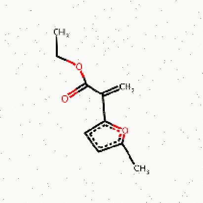 C=C(C(=O)OCC)c1ccc(C)o1